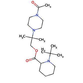 CC(=O)N1CCN(C(C)(C)COC(=O)C2CCCCN2C(C)(C)C)CC1